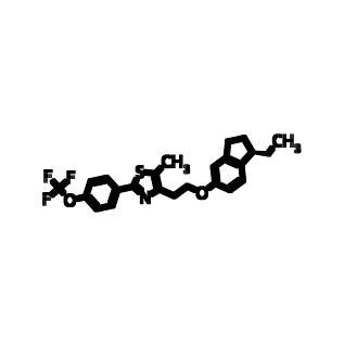 CC[C@@H]1CCc2cc(OCCc3nc(-c4ccc(OC(F)(F)F)cc4)sc3C)ccc21